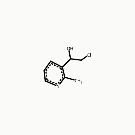 Cc1ncccc1C(O)CCl